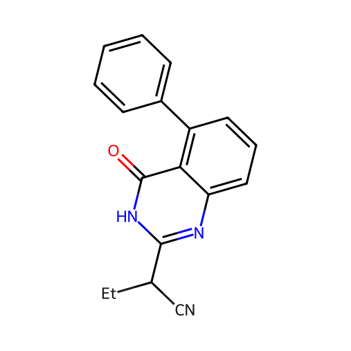 CCC(C#N)c1nc2cccc(-c3ccccc3)c2c(=O)[nH]1